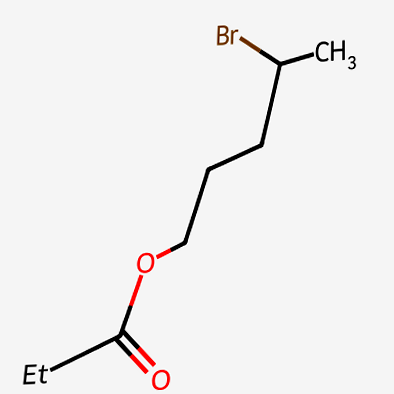 CCC(=O)OCCCC(C)Br